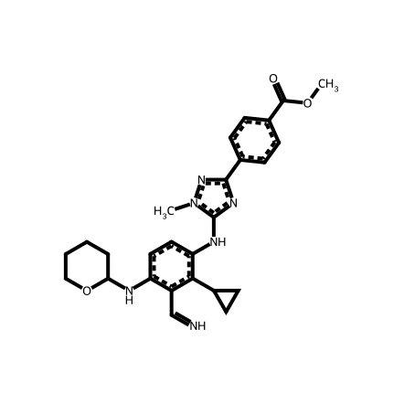 COC(=O)c1ccc(-c2nc(Nc3ccc(NC4CCCCO4)c(C=N)c3C3CC3)n(C)n2)cc1